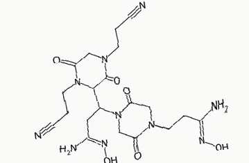 N#CCCN1CC(=O)N(CCC#N)C(C(CC(N)=NO)N2CC(=O)N(CCC(N)=NO)CC2=O)C1=O